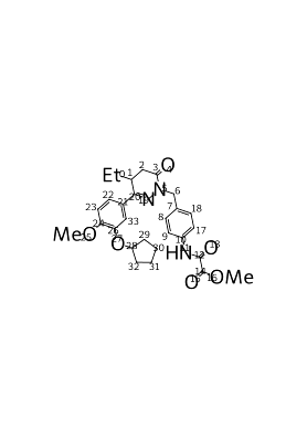 CCC1CC(=O)N(Cc2ccc(NC(=O)C(=O)OC)cc2)N=C1c1ccc(OC)c(OC2CCCC2)c1